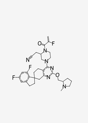 C=C(F)C(=O)N1CCN(c2nc(OCC3CCCN3C)nc3c2CCC2(CCc4cc(F)cc(F)c42)C3)CC1CC#N